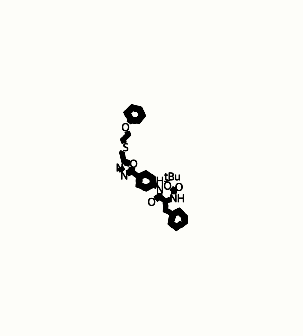 CC(C)(C)OC(=O)NC(Cc1ccccc1)C(=O)Nc1ccc(-c2nnc(CSCCOc3ccccc3)o2)cc1